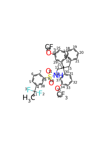 CC(F)(F)c1cccc(S(=O)(=O)NCC(Cc2ccccc2)(c2cccc(OC(F)(F)F)c2)c2cccc(OC(F)(F)F)c2)c1